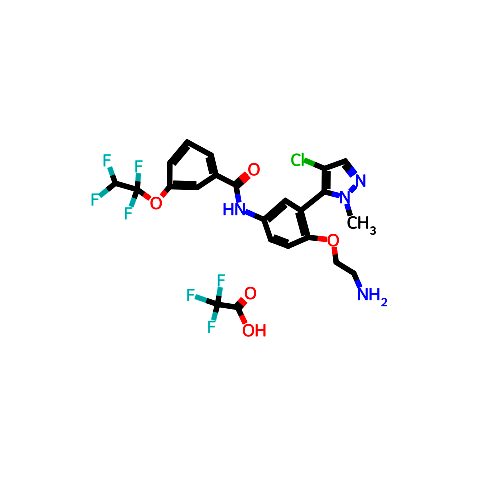 Cn1ncc(Cl)c1-c1cc(NC(=O)c2cccc(OC(F)(F)C(F)F)c2)ccc1OCCN.O=C(O)C(F)(F)F